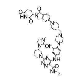 CN1CCN([C@@H]2CCCN(c3nnc(C(N)=O)c(Nc4ccc(N5CCN(CC6CCN(c7ccc8c(c7)CN(C7CCC(=O)NC7=O)C8=O)CC6)CC5)c(F)c4)n3)C2)C1=O